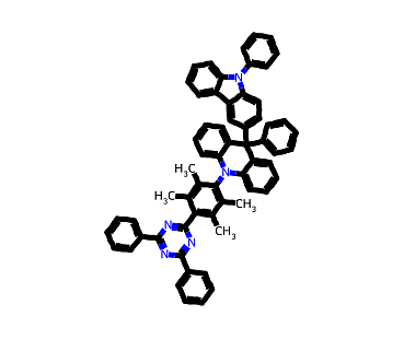 Cc1c(C)c(N2c3ccccc3C(c3ccccc3)(c3ccc4c(c3)c3ccccc3n4-c3ccccc3)c3ccccc32)c(C)c(C)c1-c1nc(-c2ccccc2)nc(-c2ccccc2)n1